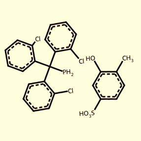 Cc1ccc(S(=O)(=O)O)cc1O.PC(c1ccccc1Cl)(c1ccccc1Cl)c1ccccc1Cl